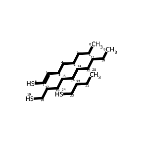 CCCCCCC=CS.CCCCCCCCCCS.CCCCS